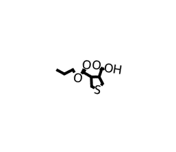 CCCOC(=O)C1CSCC1C(=O)O